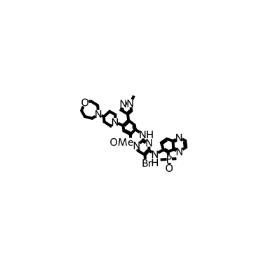 COc1cc(N2CCC(N3CCCOCC3)CC2)c(-c2cnn(C)c2)cc1Nc1ncc(Br)c(Nc2ccc3nccnc3c2P(C)(C)=O)n1